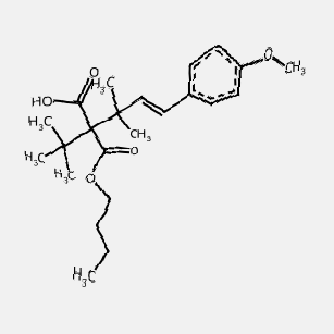 CCCCOC(=O)C(C(=O)O)(C(C)(C)C)C(C)(C)C=Cc1ccc(OC)cc1